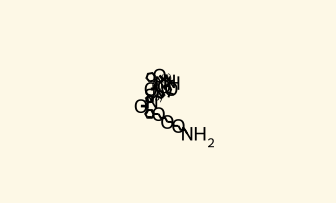 C[C@@H](C(=O)N[C@H](C(=O)N1CCC[C@H]1c1nc(C(=O)c2cccc(OCCOCCOCCN)c2)cs1)C1CCCCC1)N(C)C(=O)OC(C)(C)C